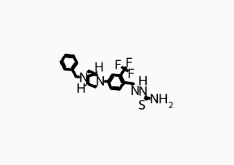 NC(=S)N/N=C/c1ccc(N2C[C@@H]3C[C@H]2CN3Cc2ccccc2)cc1C(F)(F)F